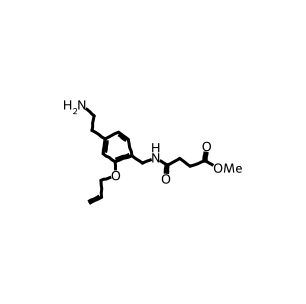 C=CCOc1cc(CCN)ccc1CNC(=O)CCC(=O)OC